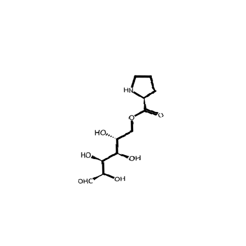 O=C[C@H](O)[C@@H](O)[C@H](O)[C@H](O)COC(=O)[C@@H]1CCCN1